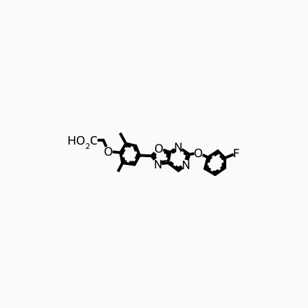 Cc1cc(-c2nc3cnc(Oc4cccc(F)c4)nc3o2)cc(C)c1OCC(=O)O